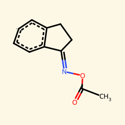 CC(=O)ON=C1CCc2c[c]ccc21